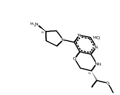 COC(C)[C@@H]1COc2c(ncnc2N2CC[C@@H](N)C2)N1.Cl